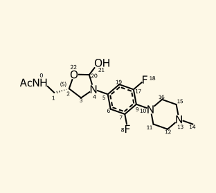 CC(=O)NC[C@H]1CN(c2cc(F)c(N3CCN(C)CC3)c(F)c2)C(O)O1